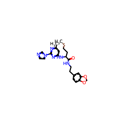 CSCCC(Nc1cc(C)nc(-n2ccnc2)n1)C(=O)NCCc1ccc2c(c1)OCO2